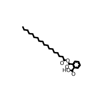 CCCCCCCCCCCCCCCCCC(=O)OC(=O)c1ccccc1C(=O)O